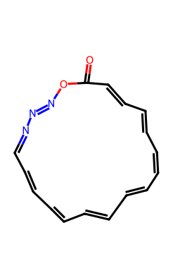 O=C1/C=C/C=C/C=C\C=C\C=C\C=C/C=C/C=N/N=N/O1